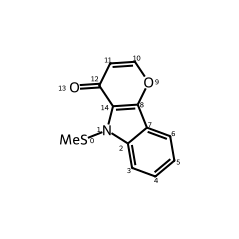 CSn1c2ccccc2c2occc(=O)c21